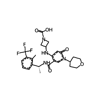 Cc1c([C@@H](C)NC(=O)c2cn(C3CCOCC3)c(=O)cc2NC2CN(C(=O)O)C2)cccc1C(F)(F)F